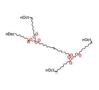 CCCCCCCC/C=C\CCCCCCCC(=O)OCC(COC(=O)CCCCCCC/C=C\CCCCCCCC)OC(=O)CCCCCCC/C=C/CCCCCCCC(=O)OC(COC(=O)CCCCCCC/C=C\CCCCCCCC)COC(=O)CCCCCCCCCCCCCCCCC